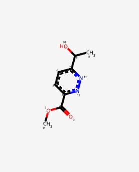 COC(=O)c1ccc(C(C)O)nn1